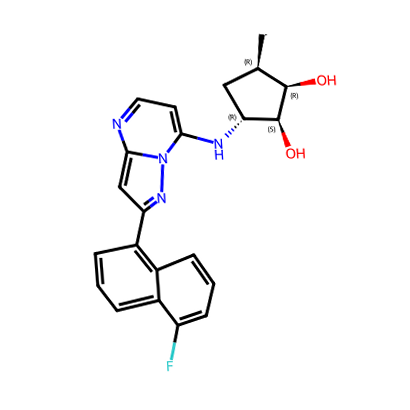 [CH2][C@@H]1C[C@@H](Nc2ccnc3cc(-c4cccc5c(F)cccc45)nn23)[C@H](O)[C@@H]1O